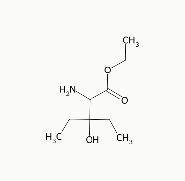 CCOC(=O)C(N)C(O)(CC)CC